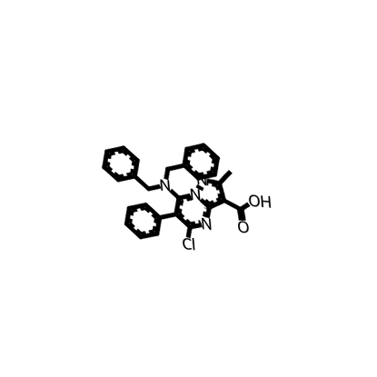 Cc1nn2c(N(Cc3ccccc3)Cc3ccccc3)c(-c3ccccc3)c(Cl)nc2c1C(=O)O